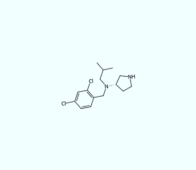 CC(C)CN(Cc1ccc(Cl)cc1Cl)[C@H]1CCNC1